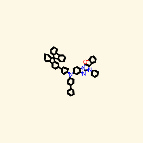 c1ccc(-c2ccc(N(c3ccc(-c4ccc5c(c4)C4(c6ccccc6-c6ccccc64)c4ccccc4-5)cc3)c3ccc4c(c3)nc3n(-c5ccccc5)c5c6ccccc6oc5n43)cc2)cc1